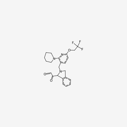 O=CC(=O)C1c2ccccc2CN1Cc1ccc(OCC(F)(F)F)nc1N1CCCCC1